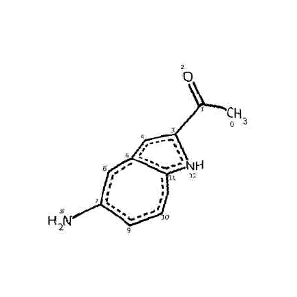 CC(=O)c1cc2cc(N)ccc2[nH]1